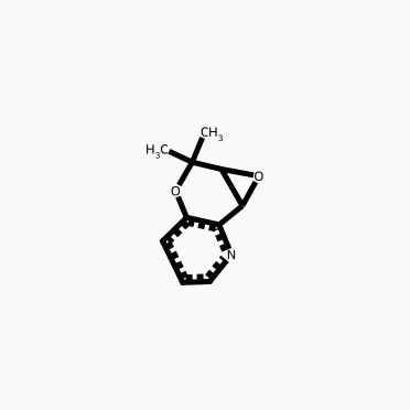 CC1(C)Oc2cccnc2C2OC21